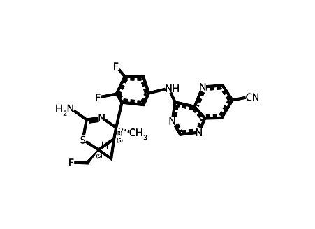 C[C@@]1(c2cc(Nc3ncnc4cc(C#N)cnc34)cc(F)c2F)N=C(N)S[C@@]2(CF)C[C@H]21